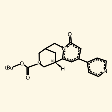 CC(C)(C)OC(=O)N1CC2C[C@@H](C1)c1cc(-c3ccncc3)cc(=O)n1C2